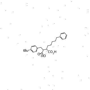 CC(C)(C)c1ccc(CC(C(CCCCCc2ccccc2)C(=O)O)[SH](=O)=O)cc1